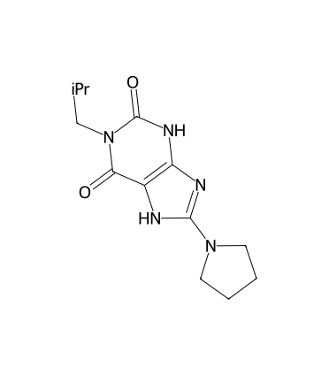 CC(C)Cn1c(=O)[nH]c2nc(N3CCCC3)[nH]c2c1=O